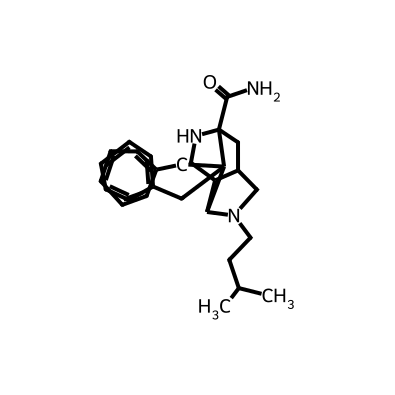 CC(C)CCN1CC2CC3(C(N)=O)NCC2C1C3(Cc1ccccc1)Cc1ccccc1